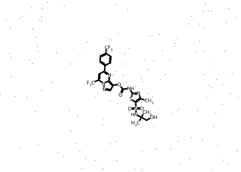 Cc1nc(NC(=O)Oc2cnn3c(C(F)(F)F)cc(-c4ccc(C(F)(F)F)cc4)nc23)sc1S(=O)(=O)NC(C)(C)CO